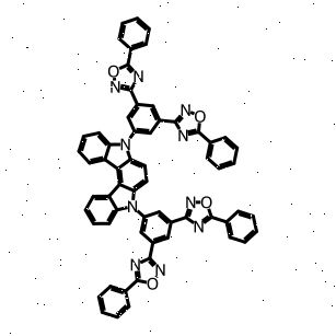 c1ccc(-c2nc(-c3cc(-c4noc(-c5ccccc5)n4)cc(-n4c5ccccc5c5c6c7ccccc7n(-c7cc(-c8noc(-c9ccccc9)n8)cc(-c8noc(-c9ccccc9)n8)c7)c6ccc54)c3)no2)cc1